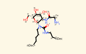 CCCCCCCCCCCCCCN(C(=O)NCCCCCCCCCCCC)[C@@H]1O[C@H](CO)[C@@H](O)[C@H](O)[C@H]1NC(=O)[C@H](C)N